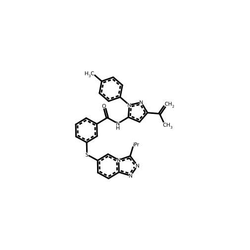 C=C(C)c1cc(NC(=O)c2cccc(Sc3ccc4nnc(C(C)C)n4c3)c2)n(-c2ccc(C)cc2)n1